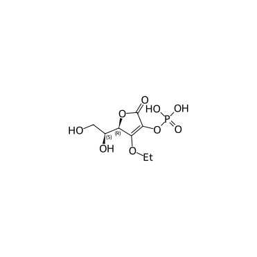 CCOC1=C(OP(=O)(O)O)C(=O)O[C@@H]1[C@@H](O)CO